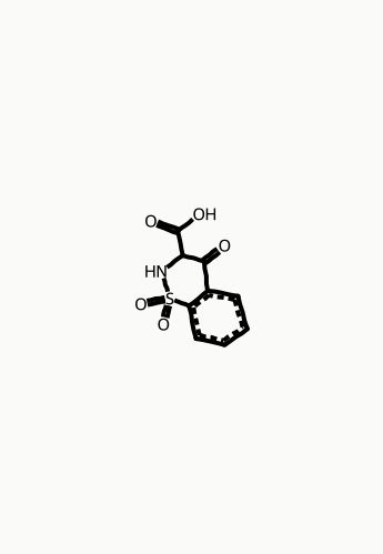 O=C(O)C1NS(=O)(=O)c2ccccc2C1=O